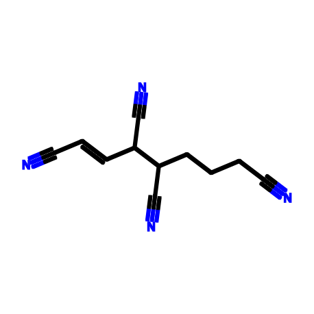 N#CC=CC(C#N)C(C#N)CCCC#N